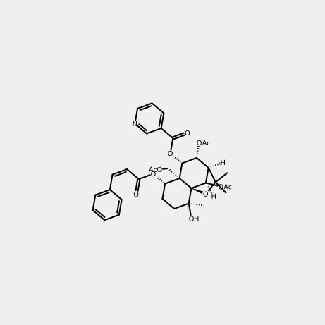 CC(=O)OC[C@@]12[C@@H](OC(=O)/C=C\c3ccccc3)CC[C@](C)(O)[C@]13OC(C)(C)[C@H]([C@@H](OC(C)=O)[C@H]2OC(=O)c1cccnc1)[C@H]3OC(C)=O